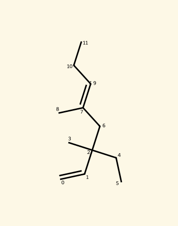 C=CC(C)(CC)C/C(C)=[C]/CC